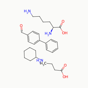 CCCC(=O)O.NC1CCCCC1.NCCCC[C@H](N)C(=O)O.O=Cc1ccc(-c2ccccc2)cc1